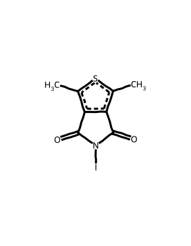 Cc1sc(C)c2c1C(=O)N(I)C2=O